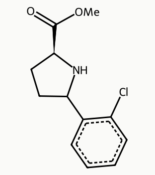 COC(=O)[C@@H]1CCC(c2ccccc2Cl)N1